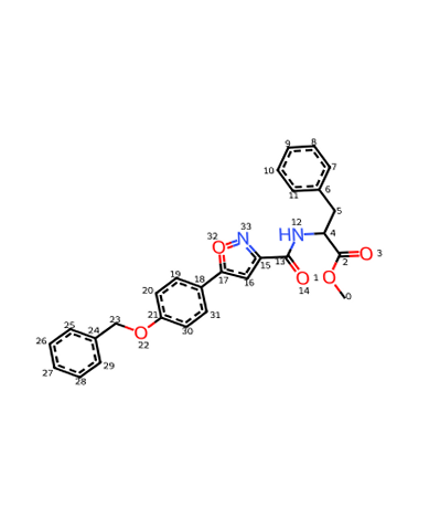 COC(=O)C(Cc1ccccc1)NC(=O)c1cc(-c2ccc(OCc3ccccc3)cc2)on1